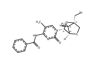 [2H]C[C@@]12CS[C@@H]([C@H](n3cc(C)c(NC(=O)c4ccccc4)nc3=O)O1)[C@@H]2C